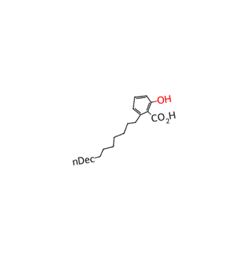 CCCCCCCCCCCCCCCCCc1cccc(O)c1C(=O)O